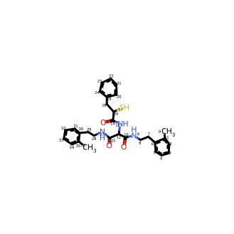 Cc1ccccc1CCNC(=O)C(NC(=O)C(S)Cc1ccccc1)C(=O)NCCc1ccccc1C